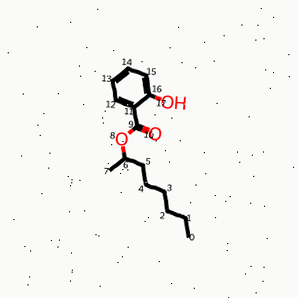 CCCCCCC(C)OC(=O)c1ccccc1O